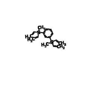 C=C[Si](C)(C=C)c1cccc([Si](C)(C=C)C=C)c1